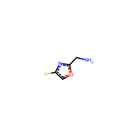 NCc1nc([S])co1